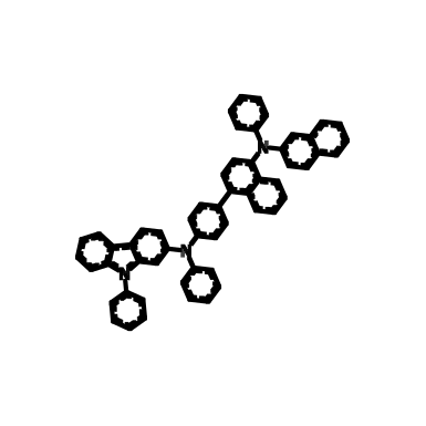 c1ccc(N(c2ccc(-c3ccc(N(c4ccccc4)c4ccc5ccccc5c4)c4ccccc34)cc2)c2ccc3c4ccccc4n(-c4ccccc4)c3c2)cc1